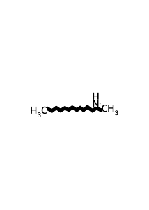 CCCCCCCCCCCCCC([NH])CC